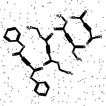 CCOC(=O)C#CC(=O)OCC.COC(=O)C#CC(=O)OC.O=C(C#CC(=O)Oc1ccccc1)Oc1ccccc1.O=C(O)C#CC(=O)O